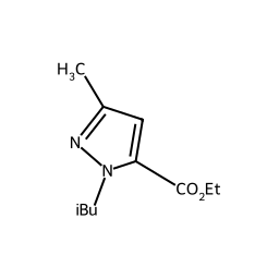 CCOC(=O)c1cc(C)nn1C(C)CC